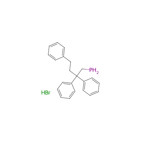 Br.PCC(CCc1ccccc1)(c1ccccc1)c1ccccc1